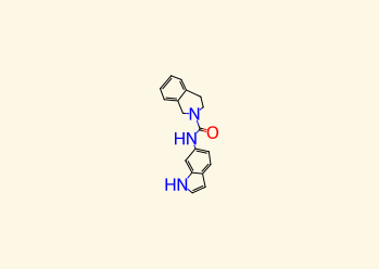 O=C(Nc1ccc2cc[nH]c2c1)N1CCc2ccccc2C1